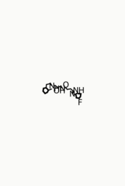 O=C(CCc1nc2cc(F)ccc2[nH]1)NCC(O)CN1CCc2ccccc2C1